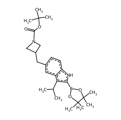 CC(C)c1c(B2OC(C)(C)C(C)(C)O2)[nH]c2ccc(CC3CN(C(=O)OC(C)(C)C)C3)cc12